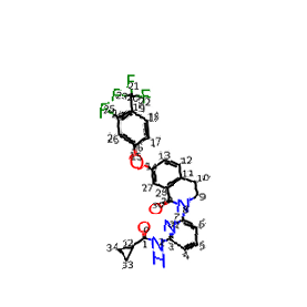 O=C(Nc1cccc(N2CCc3ccc(Oc4ccc(C(F)(F)F)c(F)c4)cc3C2=O)n1)C1CC1